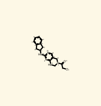 O=C(CCl)N1CBc2nc(NC3Cc4ccccc4C3)ncc2C1